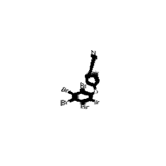 N#Cc1ccc(Oc2c(Br)c(Br)c(Br)c(Br)c2Br)cc1